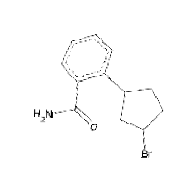 NC(=O)c1ccccc1C1CCC(Br)C1